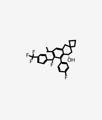 CC(C)c1cc2c(c(-c3ccc(F)cc3)c1[C@@H](F)c1ccc(C(F)(F)F)cc1)[C@@H](O)CC1(CCC1)C2